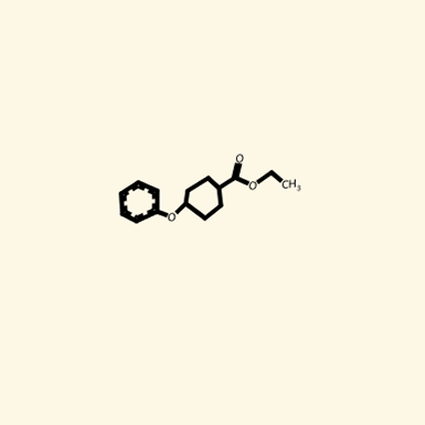 CCOC(=O)C1CCC(Oc2ccccc2)CC1